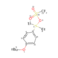 CCCCOc1ccc(S(CC)(CC)OS(=O)(=O)C(F)(F)F)cc1